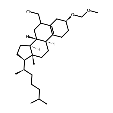 COCO[C@H]1CCC2=C(C1)C(CCl)C[C@@H]1[C@@H]2CC[C@]2(C)[C@@H]([C@H](C)CCCC(C)C)CC[C@@H]12